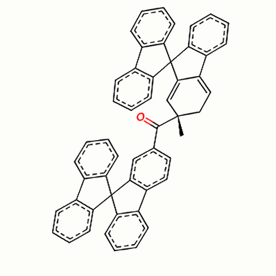 C[C@@]1(C(=O)c2ccc3c(c2)C2(c4ccccc4-c4ccccc42)c2ccccc2-3)C=C2C(=CC1)c1ccccc1C21c2ccccc2-c2ccccc21